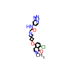 Cn1ccc2c(OC3CC4(C3)CN(CC(=O)Nc3ccn5cnnc5c3)C4)ccc(Cl)c2c1=O